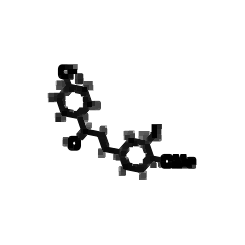 COc1ccc(/C=C/C(=O)c2ccc(C(F)(F)F)cc2)cc1F